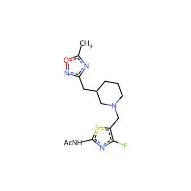 CC(=O)Nc1nc(F)c(CN2CCCC(Cc3noc(C)n3)C2)s1